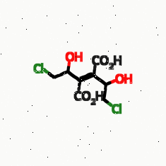 O=C(O)C(=C(C(=O)O)C(O)CCl)C(O)CCl